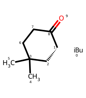 CC[C@H](C)[C@@H]1CC(C)(C)CCC1=O